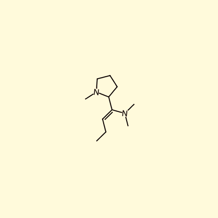 CC/C=C(/C1CCCN1C)N(C)C